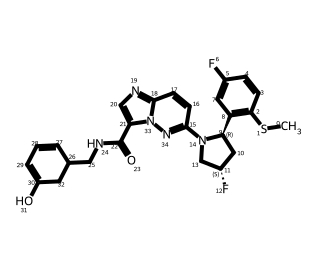 CSc1ccc(F)cc1[C@H]1C[C@H](F)CN1c1ccc2ncc(C(=O)NCC3C=CC=C(O)C3)n2n1